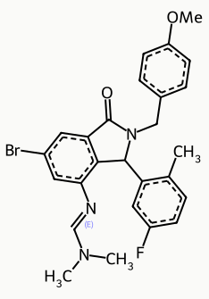 COc1ccc(CN2C(=O)c3cc(Br)cc(/N=C/N(C)C)c3C2c2cc(F)ccc2C)cc1